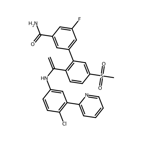 C=C(Nc1ccc(Cl)c(-c2ccccn2)c1)c1ccc(S(C)(=O)=O)cc1-c1cc(F)cc(C(N)=O)c1